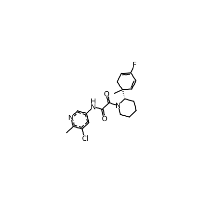 Cc1ncc(NC(=O)C(=O)N2CCCC[C@H]2C2(C)C=CC(F)=CC2)cc1Cl